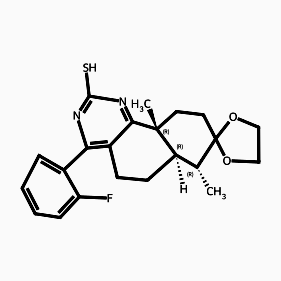 C[C@@H]1[C@H]2CCc3c(-c4ccccc4F)nc(S)nc3[C@]2(C)CCC12OCCO2